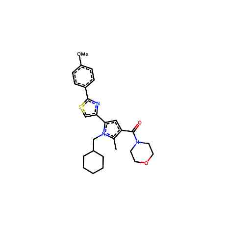 COc1ccc(-c2nc(-c3cc(C(=O)N4CCOCC4)c(C)n3CC3CCCCC3)cs2)cc1